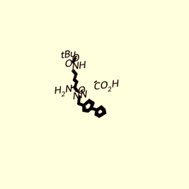 CC(=O)O.CC(C)(C)OC(=O)NCCCC[C@H](N)c1nc(Cc2ccc(-c3ccccc3)cc2)no1